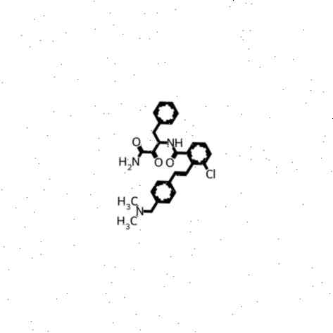 CN(C)Cc1ccc(/C=C/c2c(Cl)cccc2C(=O)NC(Cc2ccccc2)C(=O)C(N)=O)cc1